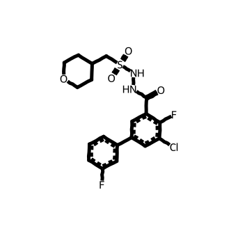 O=C(NNS(=O)(=O)CC1CCOCC1)c1cc(-c2cccc(F)c2)cc(Cl)c1F